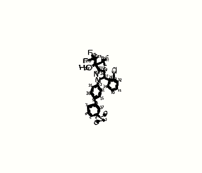 CS(=O)(=O)c1cccc(-c2ccc(N3N=C(C(O)(C(F)(F)F)C(F)(F)F)CC3c3ccccc3Cl)cc2)c1